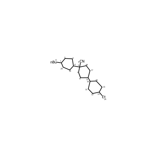 CCCCC1CCC(C2(C#N)CCC(C3CCC(CC)CC3)CC2)CC1